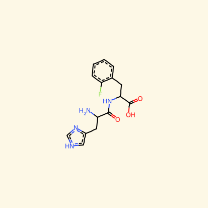 NC(Cc1c[nH]cn1)C(=O)NC(Cc1ccccc1F)C(=O)O